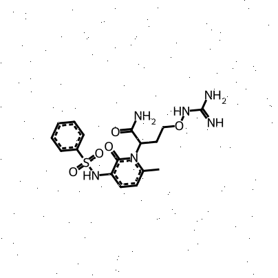 Cc1ccc(NS(=O)(=O)c2ccccc2)c(=O)n1C(CCONC(=N)N)C(N)=O